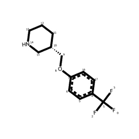 FC(F)(F)c1ccc(OC[C@H]2CCCNC2)cc1